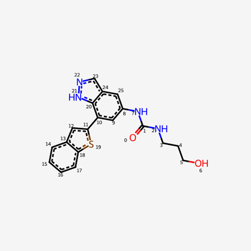 O=C(NCCCO)Nc1cc(-c2cc3ccccc3s2)c2[nH]ncc2c1